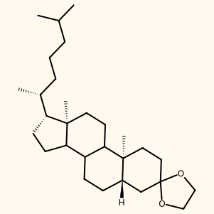 CC(C)CCC[C@@H](C)[C@H]1CCC2C3CC[C@H]4CC5(CC[C@]4(C)C3CC[C@@]21C)OCCO5